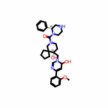 COc1ccccc1C1=CC(O)N(C[C@]2(O)CCN(C(=O)N3CCNC[C@H]3c3ccccc3)CC23CCCC3)C=N1